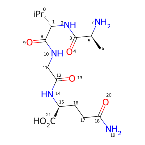 CC(C)[C@H](NC(=O)[C@H](C)N)C(=O)NCC(=O)N[C@@H](CCC(N)=O)C(=O)O